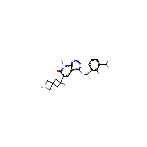 C[C@@H](Nc1ncnc2c1cc(C1(C#N)CC3(C[S+]([O-])C3)C1)c(=O)n2C)c1cccc(C(F)F)c1F